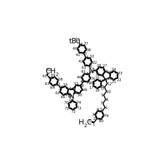 C=Cc1ccc(CCCCCCCC2(c3ccccc3)c3ccccc3-c3ccc(N(c4ccc(-c5ccc(C(C)(C)C)cc5)cc4)c4ccc(-c5ccc6c(c5)c5cc(-c7ccc(C=C)cc7)ccc5n6-c5ccccc5)cc4)cc32)cc1